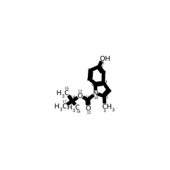 Cc1cc2cc(O)ccc2n1C(=O)OC(C)(C)C